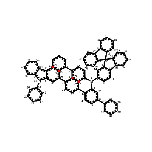 c1ccc(-c2ccc(N(c3ccc4c(c3)C3(c5ccccc5-c5ccccc53)c3ccccc3-4)c3cc(-c4ccccc4)ccc3-c3ccc(-c4ccc5c6ccccc6n(-c6ccccc6)c5c4)cc3)cc2)cc1